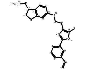 C=Cc1cccc(-c2nc(CCOc3ccc4c(c3)CC[C@H]4CC(=O)OCC)c(C)o2)c1